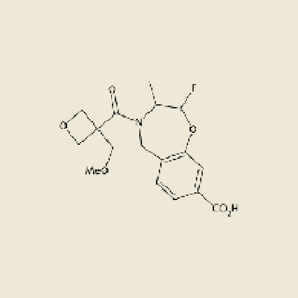 COCC1(C(=O)N2Cc3ccc(C(=O)O)cc3OC(F)C2C)COC1